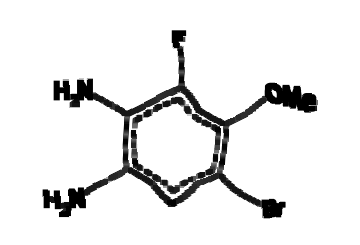 COc1c(Br)cc(N)c(N)c1F